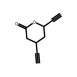 C#CC1CC(=O)OC(C#C)C1